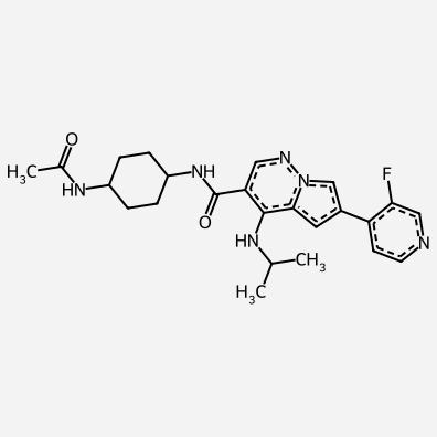 CC(=O)NC1CCC(NC(=O)c2cnn3cc(-c4ccncc4F)cc3c2NC(C)C)CC1